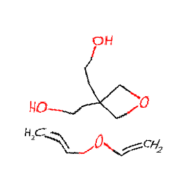 C=COC=C.OCC1(CO)COC1